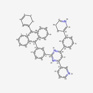 C1=CCCC(c2c3ccccc3c(-c3cccc(-c4nc(-c5cccnc5)cc(-c5cccc(C6=CN=CCC6)c5)n4)c3)c3ccccc23)=C1